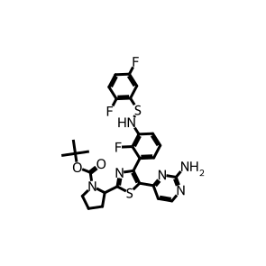 CC(C)(C)OC(=O)N1CCCC1c1nc(-c2cccc(NSc3cc(F)ccc3F)c2F)c(-c2ccnc(N)n2)s1